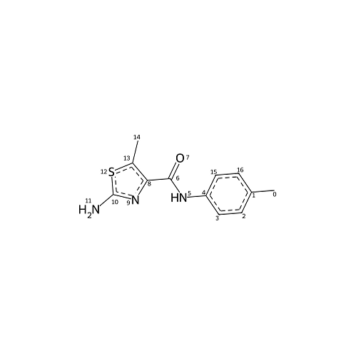 Cc1ccc(NC(=O)c2nc(N)sc2C)cc1